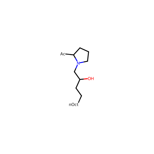 CCCCCCCCCCC(O)CN1CCCC1C(C)=O